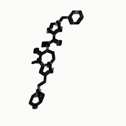 CN1C(=O)C(NC(=O)c2ncn(Cc3ccccc3)n2)CCn2nc(CCN3CC4CC3CO4)cc21